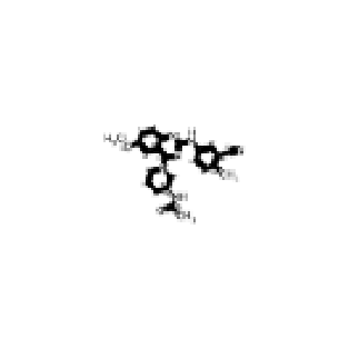 COc1ccc2nc(Nc3ccc(C)c(C#N)c3)nc(N3CCC[C@@H](NC(C)=O)C3)c2c1